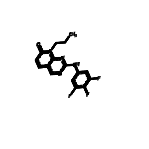 CCCn1c(=O)ccc2cnc(Nc3cc(F)c(F)c(F)c3)nc21